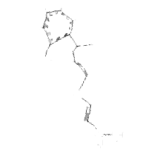 CC(C)c1ccccc1C(C)C=COC=C[SiH](C)C